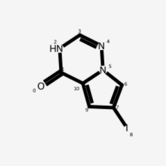 O=c1[nH]cnn2cc(I)cc12